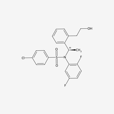 C[C@H](c1ccccc1CCO)N(c1cc(F)ccc1F)S(=O)(=O)c1ccc(Cl)cc1